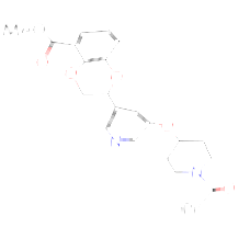 COC(=O)c1cccc2c1OCC(c1cncc(OC3CCN(C(=O)C(C)C)CC3)c1)O2